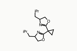 CC(C)CC1COC(C2(C3=NC(CC(C)C)CO3)CC2)=N1